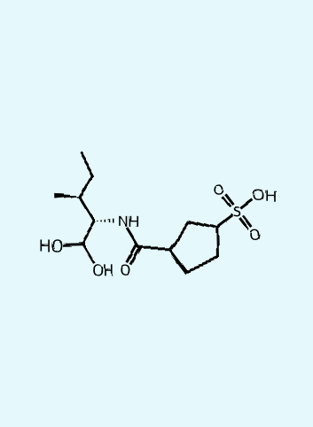 CC[C@H](C)[C@H](NC(=O)C1CCC(S(=O)(=O)O)C1)C(O)O